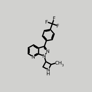 CC1NCC1n1nc(-c2ccc(C(F)(F)F)cc2)c2cccnc21